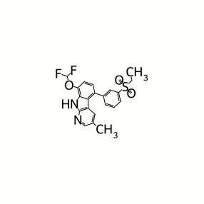 CCS(=O)(=O)c1cccc(-c2ccc(OC(F)F)c3[nH]c4ncc(C)cc4c23)c1